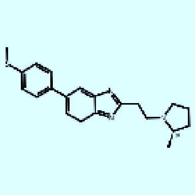 CSc1ccc(C2=CCC3=NC(CCN4CCC[C@H]4C)=NC3=C2)cc1